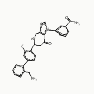 NCc1ccccc1-c1ccc(C2CC(=O)c3c(ncn3-c3cccc(C(N)=O)c3)CN2)c(F)c1